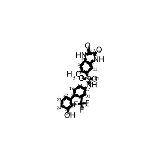 Cc1cc2[nH]c(=O)c(=O)[nH]c2cc1S(=O)(=O)Nc1ccc(-c2cccc(O)c2)c(C(F)(F)F)c1